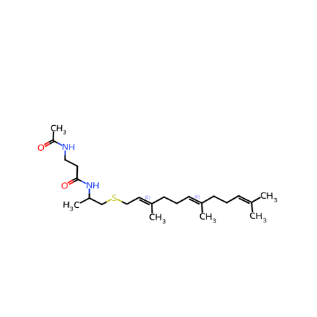 CC(=O)NCCC(=O)NC(C)CSC/C=C(\C)CC/C=C(\C)CCC=C(C)C